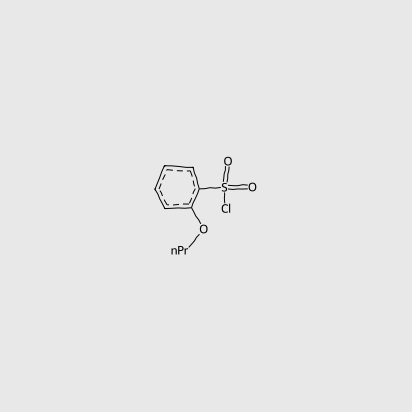 CCCOc1ccccc1S(=O)(=O)Cl